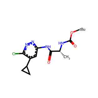 C[C@@H](NC(=O)OC(C)(C)C)C(=O)Nc1cc(C2CC2)c(Cl)nn1